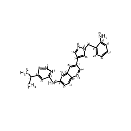 CC(C)c1cnnc(Nc2ccc3ncc(-c4cnn(Cc5ccccc5N)c4)cc3n2)c1